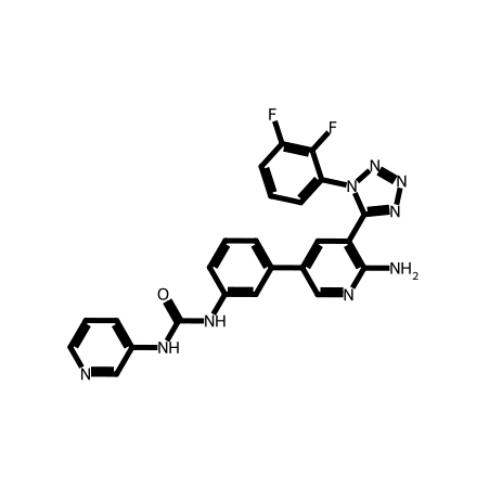 Nc1ncc(-c2cccc(NC(=O)Nc3cccnc3)c2)cc1-c1nnnn1-c1cccc(F)c1F